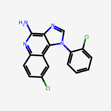 Nc1nc2ccc(Cl)cc2c2c1ncn2-c1ccccc1Cl